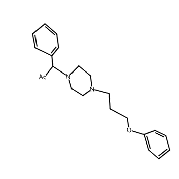 CC(=O)C(c1ccccc1)N1CCN(CCCOc2ccccc2)CC1